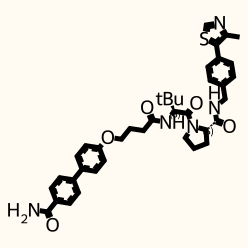 Cc1ncsc1-c1ccc(CNC(=O)[C@@H]2CCCN2C(=O)[C@@H](NC(=O)CCCOc2ccc(-c3ccc(C(N)=O)cc3)cc2)C(C)(C)C)cc1